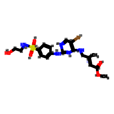 COC(=O)/C=C(\C)CNc1nc(Nc2ccc(S(=O)(=O)NCCO)cc2)ncc1Br